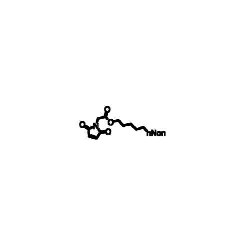 CCCCCCCCCCCCCCOC(=O)CN1C(=O)C=CC1=O